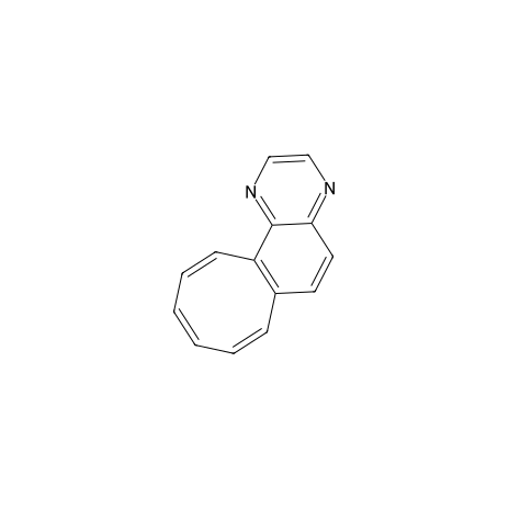 C1=CC=Cc2c(ccc3nccnc23)C=C1